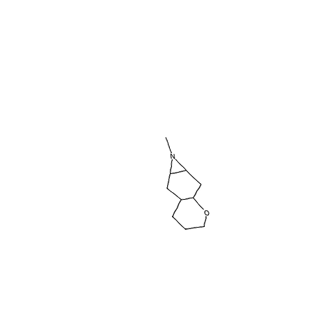 CN1C2CC3CCCOC3CC21